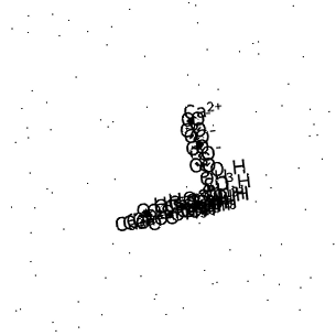 O=S(=O)(O)O.O=S(=O)(O)O.O=S(=O)(O)O.O=S(=O)(O)O.O=S(=O)(O)O.O=S(=O)(O)O.O=S(=O)(O)O.O=S(=O)(O)O.O=S(=O)(O)O.O=S(=O)(O)O.O=S(=O)([O-])[O-].O=S(=O)([O-])[O-].O=S(=O)([O-])[O-].O=S(=O)([O-])[O-].O=S(=O)([O-])[O-].[Ca+2].[Ca+2].[Ca+2].[Ca+2].[Ca+2]